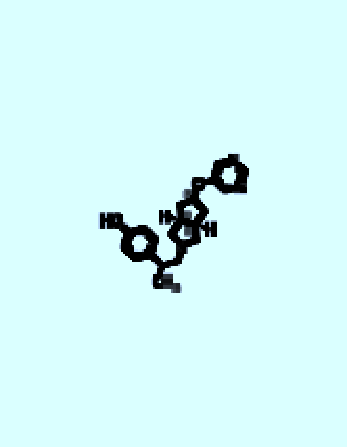 CC(CN1C[C@H]2C[C@H](Oc3cncnc3)C[C@H]2C1)c1ccc(O)cc1